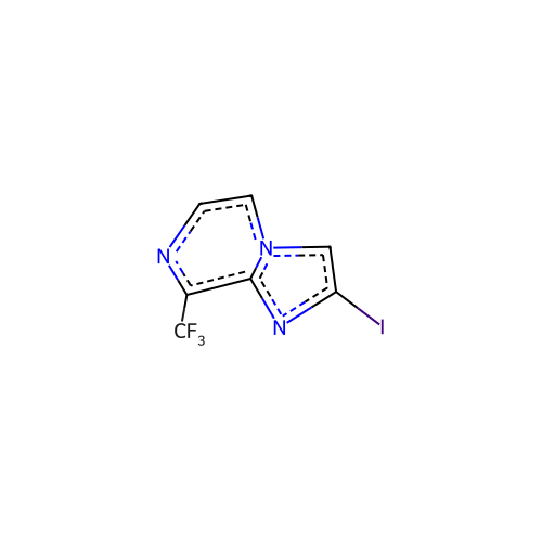 FC(F)(F)c1nccn2cc(I)nc12